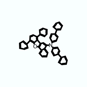 c1ccc(-c2ccc(N(c3ccc(-c4ccccc4)cc3)c3cc4c(oc5c(-c6ccccc6)ccc(-c6ccccc6)c54)c4ccccc34)cc2)cc1